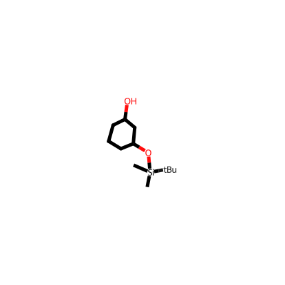 CC(C)(C)[Si](C)(C)OC1CCCC(O)C1